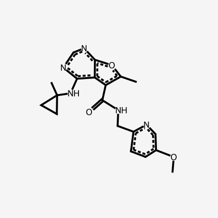 COc1ccc(CNC(=O)c2c(C)oc3ncnc(NC4(C)CC4)c23)nc1